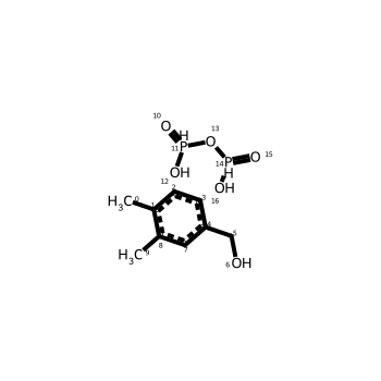 Cc1ccc(CO)cc1C.O=[PH](O)O[PH](=O)O